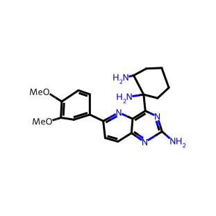 COc1ccc(-c2ccc3nc(N)nc(C4(N)CCCCC4N)c3n2)cc1OC